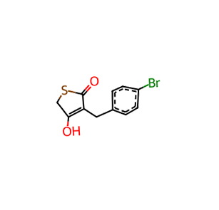 O=C1SCC(O)=C1Cc1ccc(Br)cc1